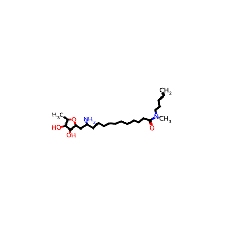 C=CCCCN(C)C(=O)CCCCCCCCCCC(N)CC1OC(C)C(O)C1O